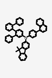 CC1(C)c2ccccc2-c2ccc(N(c3ccc(-c4cccc5ccccc45)cc3)c3ccc(-c4ccccc4-c4ccccc4)c(-c4ccccc4)c3)cc21